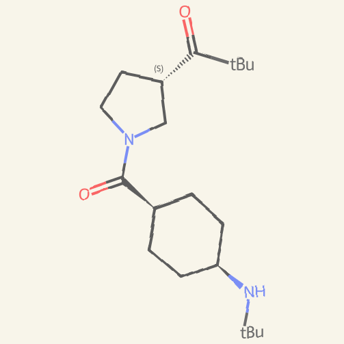 CC(C)(C)N[C@H]1CC[C@@H](C(=O)N2CC[C@H](C(=O)C(C)(C)C)C2)CC1